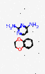 Nc1ccnc(N)n1.c1ccc2c(c1)OCCO2